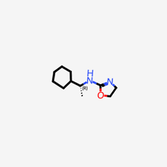 C[C@@H](NC1=NCCO1)C1CCCCC1